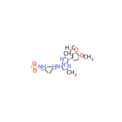 COc1ccc(-c2c(C)nn3c(NCc4ccc(CN[SH](=O)=O)cc4)cc(C)nc23)cc1OC